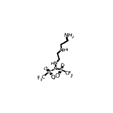 NCCNCCNN(S(=O)(=O)C(F)(F)F)S(=O)(=O)C(F)(F)F